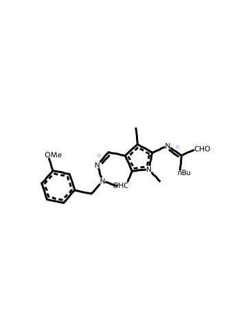 CCCC/C(C=O)=N\c1c(C)c(/C=N\N(C)Cc2cccc(OC)c2)c(C=O)n1C